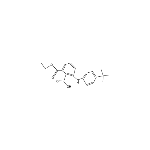 CCOC(=O)c1cccc(Nc2ccc(C(C)(C)C)cc2)c1C(=O)O